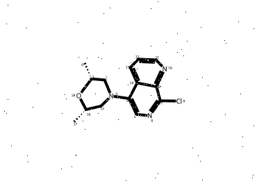 C[C@@H]1CN(c2cnc(Cl)c3ncccc23)C[C@H](C)O1